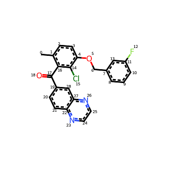 Cc1ccc(OCc2cccc(F)c2)c(Cl)c1C(=O)c1ccc2nccnc2c1